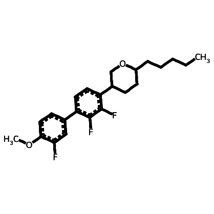 CCCCCC1CCC(c2ccc(-c3ccc(OC)c(F)c3)c(F)c2F)CO1